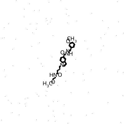 COCCNC(=O)CCCn1ccc2cc(C(=O)NN=Cc3cccc(OC)c3)ccc21